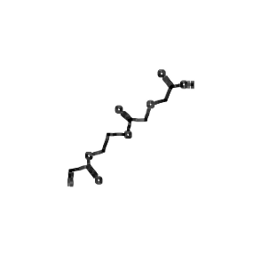 C=CC(=O)OCCOC(=O)COCC(=O)O